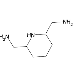 NCC1CCCC(CN)N1